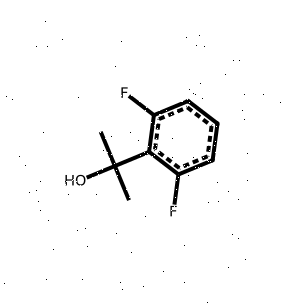 CC(C)(O)c1c(F)cccc1F